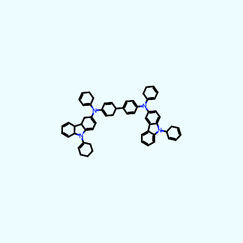 C1=CCCC(N(C2=CCC(c3ccc(N(C4=CC=CCC4)c4ccc5c(c4)c4ccccc4n5C4C=CC=CC4)cc3)C=C2)C2=CC=C3C(C2)C2C=CC=CC2N3C2=CCCCC2)=C1